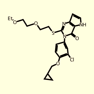 CCOCCOCCSc1nc2cc[nH]c2c(=O)n1-c1ccc(OCC2CC2)c(Cl)c1